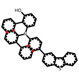 Oc1cccc(N(c2ccc(-c3ccc4sc5ccccc5c4c3)cc2)c2ccccc2-c2ccccc2)c1-c1ccccc1